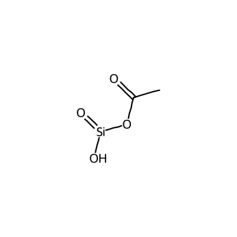 CC(=O)O[Si](=O)O